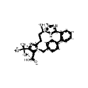 CCCCc1nc(C(C)(C)O)c(C(=O)O)n1Cc1ccc(-c2ccccc2-c2nnn[nH]2)cc1